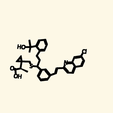 C[C@@H](C(=O)O)C1(CSC(CCc2ccccc2C(C)(C)O)c2cccc(/C=C/c3ccc4ccc(Cl)cc4n3)c2)CC1